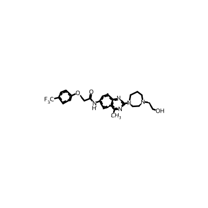 Cc1nc(N2CCCN(CCO)CC2)nc2ccc(NC(=O)COc3ccc(C(F)(F)F)cc3)cc12